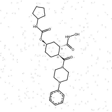 O=C(NC1CCCC1)O[C@@H]1CC[C@H](C(=O)N2CCN(c3ccccc3)CC2)[C@@H](C(=O)NO)C1